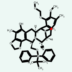 COCOc1c(OC)c(C)cc2c1C1[C@@H]3Cc4c(O)c(C)c5c(c4[C@H](CO[Si](c4ccccc4)(c4ccccc4)C(C)(C)C)N3[C@@H](C#N)[C@H](C2)N1C)OCO5